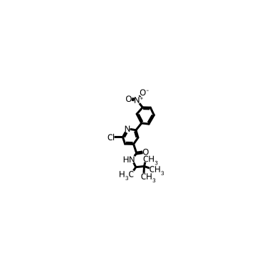 CC(NC(=O)c1cc(Cl)nc(-c2cccc([N+](=O)[O-])c2)c1)C(C)(C)C